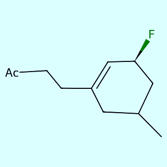 CC(=O)CCC1=C[C@@H](F)CC(C)C1